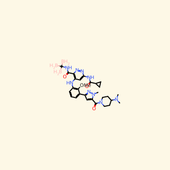 BC(B)(B)NC(=O)c1nnc(NC(=O)C2CC2)cc1Nc1cccc(-c2cc(C(=O)N3CCC(N(C)C)CC3)n(C)n2)c1OC